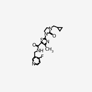 Cc1nc(N2CCN(CC3CC3)C2=O)sc1C(=O)NCc1cnccc1F